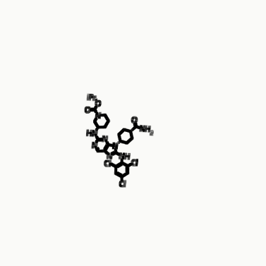 CC(C)OC(=O)N1CCC[C@@H](Nc2ncc3nc(Nc4c(Cl)cc(Cl)cc4Cl)n([C@H]4CC[C@H](C(N)=O)CC4)c3n2)C1